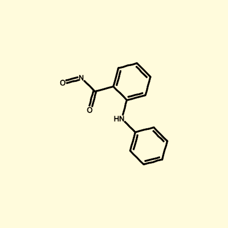 O=NC(=O)c1ccccc1Nc1ccccc1